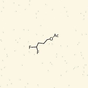 CC(=O)OCCCC(F)F